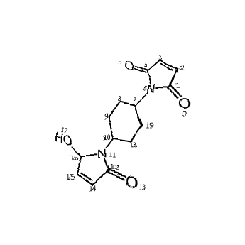 O=C1C=CC(=O)N1C1CCC(N2C(=O)C=CC2O)CC1